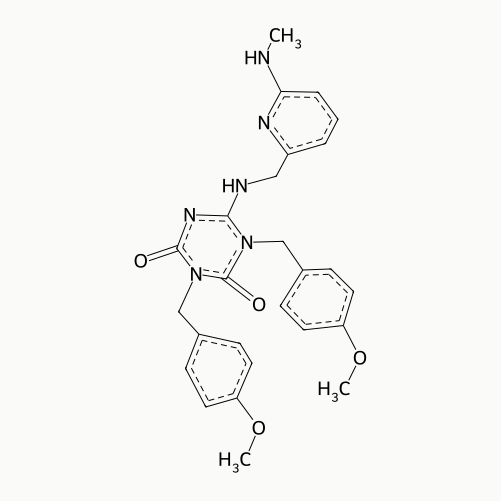 CNc1cccc(CNc2nc(=O)n(Cc3ccc(OC)cc3)c(=O)n2Cc2ccc(OC)cc2)n1